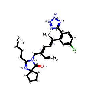 C=C/C(=C\C=C(/C)c1cc(Cl)ccc1-c1nn[nH]n1)CN1C(=O)C2(CCCC2)N=C1CCCC